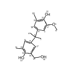 COc1cc(C(C)(C)c2cc(C)c(O)c(CO)c2)cc(C)c1O